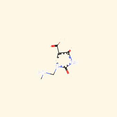 CNCn1cc(C(=O)O)c(=O)[nH]c1=O